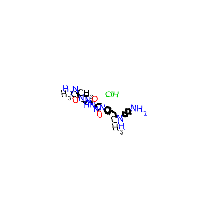 CC(Cc1ccc(-n2ccc(NC(=O)N3CCN(C(=O)C(C)(C)N)CC3)nc2=O)cc1)NC1CC2(CC(N)C2)C1.Cl